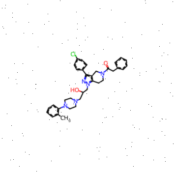 Cc1ccccc1N1CCN(CC(O)Cn2nc(-c3ccc(Cl)cc3)c3c2CCN(C(=O)Cc2ccccc2)C3)CC1